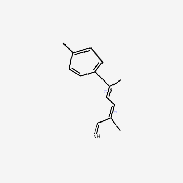 C/C(C=N)=C/C=C(\C)c1ccc(C)cc1